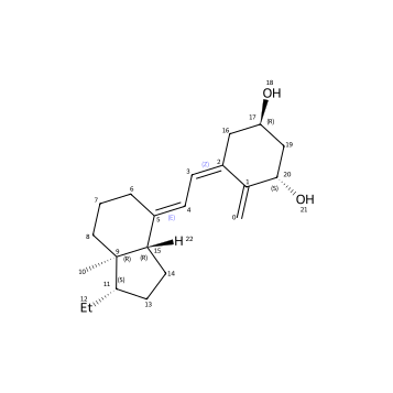 C=C1/C(=C\C=C2/CCC[C@]3(C)[C@@H](CC)CC[C@@H]23)C[C@@H](O)C[C@@H]1O